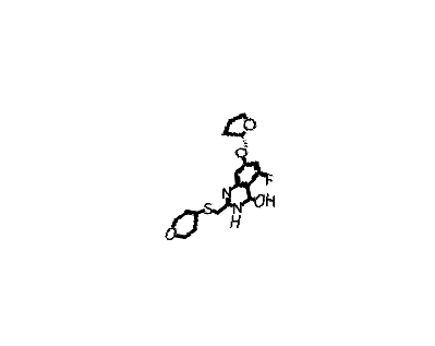 OC1NC(CSC2CCOCC2)=Nc2cc(OC[C@@H]3CCCO3)cc(F)c21